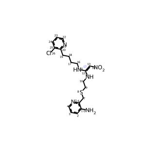 Nc1cccnc1CSCCN/C(=C\[N+](=O)[O-])NCCCCc1ncccc1Cl